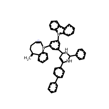 C=C1CC/C=C\N(c2cc(C3C=C(c4ccc(-c5ccccc5)cc4)NC(c4ccccc4)N3)cc(-n3c4ccccc4c4ccccc43)c2)c2ccccc21